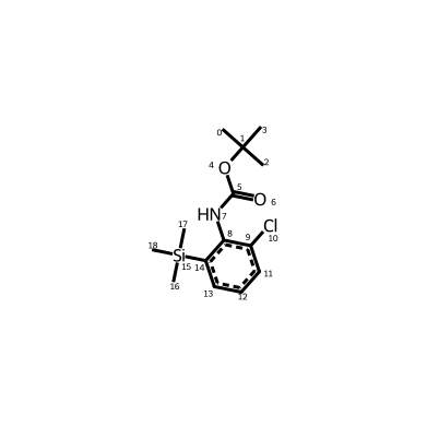 CC(C)(C)OC(=O)Nc1c(Cl)cccc1[Si](C)(C)C